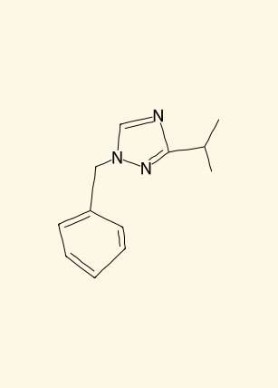 CC(C)c1ncn(Cc2ccccc2)n1